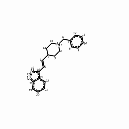 C(=CC1CCN(Cc2ccccc2)CC1)c1noc2ccccc12